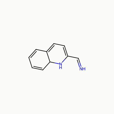 N=CC1=CC=C2C=CC=CC2N1